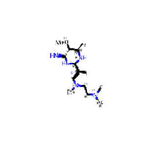 CCN(/C=C(\C)C(NC=N)N[C@H](C)COC)CCN(C)C(C)=O